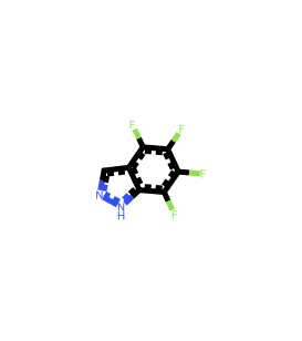 Fc1c(F)c(F)c2[nH]ncc2c1F